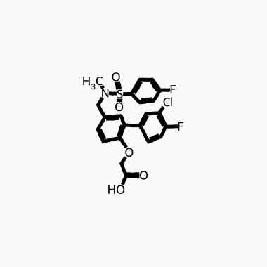 CN(Cc1ccc(OCC(=O)O)c(-c2ccc(F)c(Cl)c2)c1)S(=O)(=O)c1ccc(F)cc1